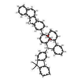 CC1(C)c2ccccc2-c2cc(N(c3ccc(-c4ccc5c(c4)oc4c6ccccc6ccc54)cc3)c3ccccc3-c3ccccc3)ccc21